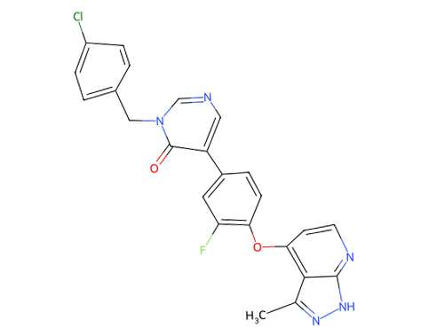 Cc1n[nH]c2nccc(Oc3ccc(-c4cncn(Cc5ccc(Cl)cc5)c4=O)cc3F)c12